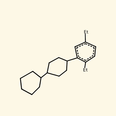 CCc1ccc(CC)c(C2CCC(C3CCCCC3)CC2)c1